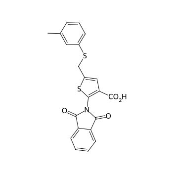 Cc1cccc(SCc2cc(C(=O)O)c(N3C(=O)c4ccccc4C3=O)s2)c1